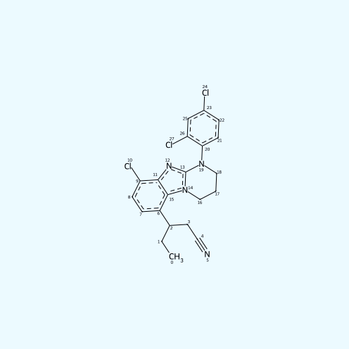 CCC(CC#N)c1ccc(Cl)c2nc3n(c12)CCCN3c1ccc(Cl)cc1Cl